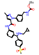 Cc1cc(C(=O)Nc2cccc(C(NCC3CC3)c3ccc(S(C)(=O)=O)cc3)c2)n(-c2cccc(CNC(=O)OC(C)(C)C)c2)n1